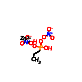 CCCP(=O)(O)O.O=[N+]([O-])[O-].O=[N+]([O-])[O-].[Zn+2]